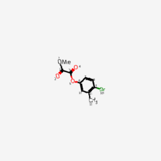 COC(=O)C(=O)Oc1ccc(Br)c(C)c1